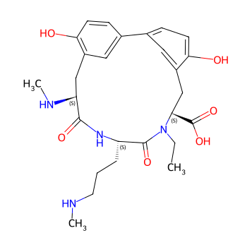 CCN1C(=O)[C@H](CCCNC)NC(=O)[C@@H](NC)Cc2cc(ccc2O)-c2ccc(O)c(c2)C[C@H]1C(=O)O